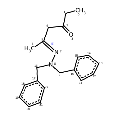 CCC(=O)C/C(C)=N/N(Cc1ccccc1)Cc1ccccc1